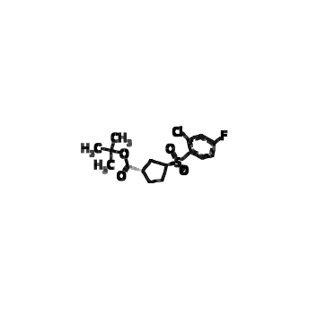 CC(C)(C)OC(=O)[C@H]1CC[C@H](S(=O)(=O)c2ccc(F)cc2Cl)C1